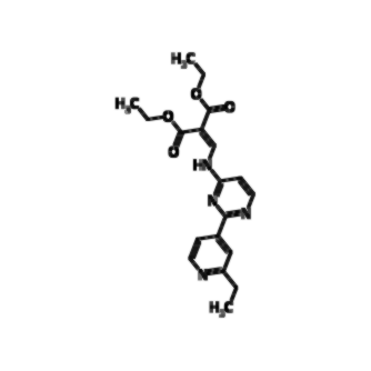 CCOC(=O)C(=CNc1ccnc(-c2ccnc(CC)c2)n1)C(=O)OCC